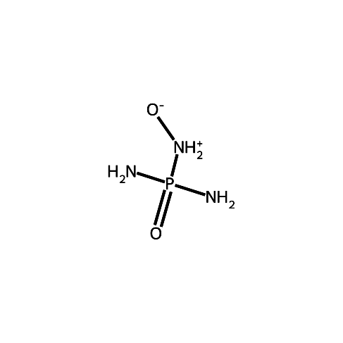 NP(N)(=O)[NH2+][O-]